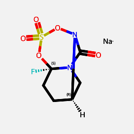 O=C1N2OS(=O)(=O)O[C@]3(F)CC[C@@H]2CN13.[Na]